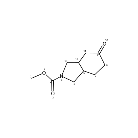 COC(=O)N1CC2CCC(=O)CC2C1